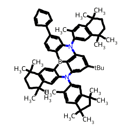 Cc1cc2c(cc1N1c3cc(-c4ccccc4)ccc3B3c4cc5c(cc4N(c4cc6c(cc4C)C(C)(C)CC6(C)C)c4cc(C(C)(C)C)cc1c43)C(C)(C)CCC5(C)C)C(C)(C)CCC2(C)C